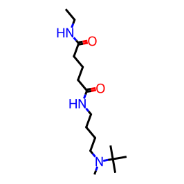 CCNC(=O)CCCC(=O)NCCCCN(C)C(C)(C)C